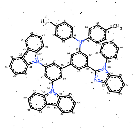 Cc1ccc(N(c2ccc(C)cc2)c2cc(-c3cc(-n4c5ccccc5c5ccccc54)cc(-n4c5ccccc5c5ccccc54)c3)cc(-c3nc4ccccc4n3-c3ccccc3)c2)cc1